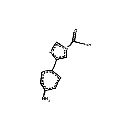 [CH2]CCC(=O)n1cnc(-c2ccc(N)cc2)c1